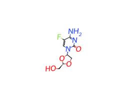 Nc1nc(=O)n([C@H]2CO[C@@H](CO)O2)cc1F